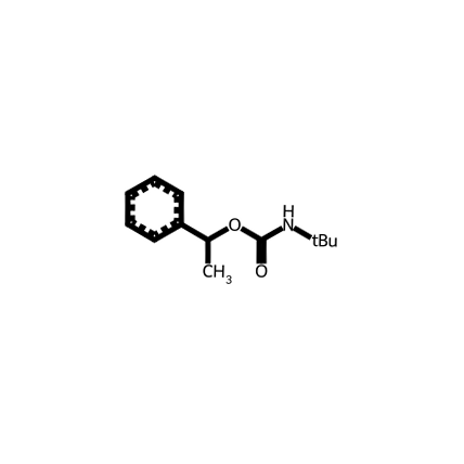 CC(OC(=O)NC(C)(C)C)c1ccccc1